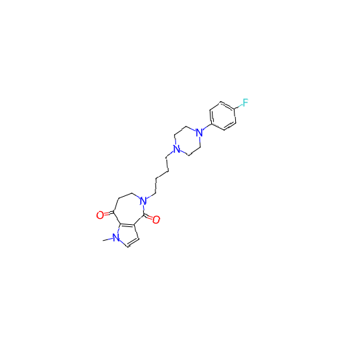 Cn1ccc2c1C(=O)CCN(CCCCN1CCN(c3ccc(F)cc3)CC1)C2=O